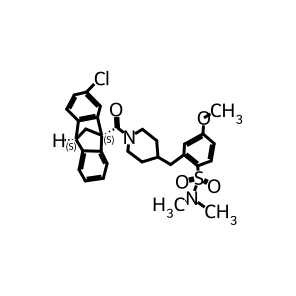 COc1ccc(S(=O)(=O)N(C)C)c(CC2CCN(C(=O)[C@@]34C[C@@H](c5ccccc53)c3ccc(Cl)cc34)CC2)c1